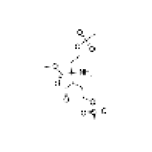 COC(=O)C(N)(CCOS(C)(=O)=O)C(C=O)CCOS(C)(=O)=O